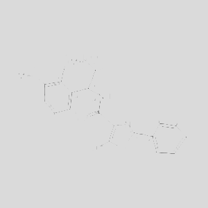 CCc1oc(-c2ccccc2)nc1C(=O)NC(CC(=O)O)c1cccc(OC)c1OC